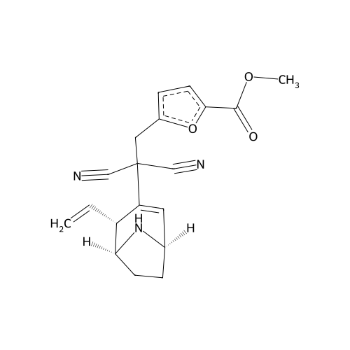 C=C[C@@H]1C(C(C#N)(C#N)Cc2ccc(C(=O)OC)o2)=C[C@H]2CC[C@@H]1N2